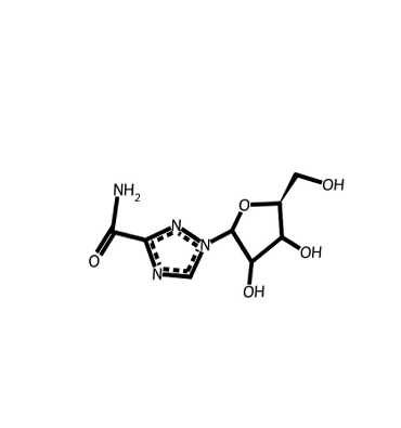 NC(=O)c1ncn(C2O[C@@H](CO)C(O)C2O)n1